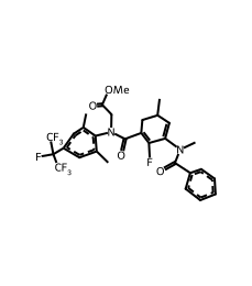 COC(=O)CN(C(=O)C1=C(F)C(N(C)C(=O)c2ccccc2)=CC(C)C1)c1c(C)cc(C(F)(C(F)(F)F)C(F)(F)F)cc1C